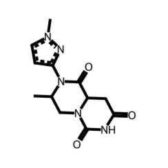 CC1CN2C(=O)NC(=O)CC2C(=O)N1c1ccn(C)n1